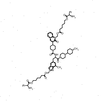 Cc1cc(CC(NC(=O)N2CCC(c3cc4ccccc4n(COC(=O)CCCCCOC(=O)C(N)C(C)C)c3=O)CC2)C(=O)N2CCN(C3CCN(C)CC3)CC2)cc2cn(COC(=O)CCCCCOC(=O)C(N)C(C)C)nc12